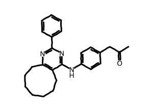 CC(=O)Cc1ccc(Nc2nc(-c3ccccc3)nc3c2CCCCCCC3)cc1